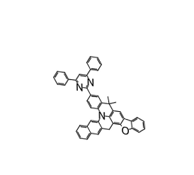 CC1(C)c2cc(-c3nc(-c4ccccc4)cc(-c4ccccc4)n3)ccc2N2c3cc4ccccc4cc3Cc3c2c1cc1c3oc2ccccc21